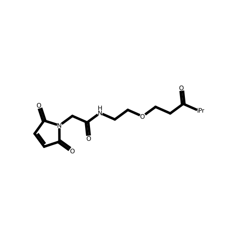 CC(C)C(=O)CCOCCNC(=O)CN1C(=O)C=CC1=O